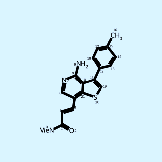 CNC(=O)/C=C/c1cnc(N)c2c(-c3ccc(C)cc3)csc12